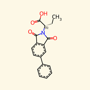 CC[C@@H](C(=O)O)N1C(=O)c2ccc(-c3ccccc3)cc2C1=O